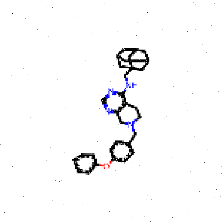 c1ccc(Oc2ccc(CN3CCc4c(ncnc4NCC45CC6CC(CC(C6)C4)C5)C3)cc2)cc1